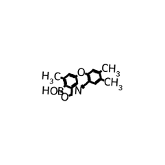 Cc1cc(C#N)c(Oc2cc(C)c3c(c2)COB3O)cc1C